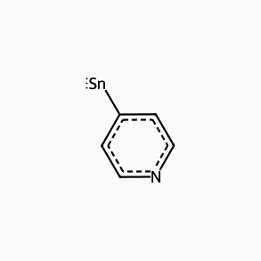 [Sn][c]1ccncc1